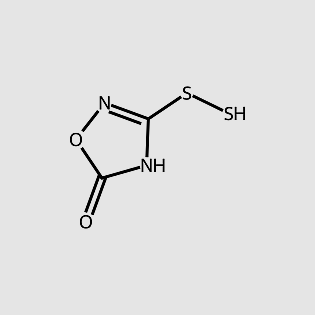 O=c1[nH]c(SS)no1